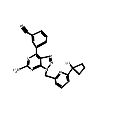 N#Cc1cccc(-c2nc(N)nc3c2nnn3Cc2cccc(C3(O)CCC3)n2)c1